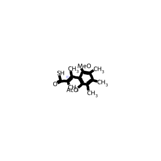 COc1c(C)c(C)c(C)c(OC(C)=O)c1/C(C)=C(\C)C(=O)S